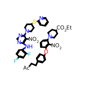 CCOC(=O)C1CCN(c2cccc(Oc3ccc(CCC(C)=O)cc3)c2[N+](=O)[O-])CC1.O=[N+]([O-])c1c(Nc2ccc(F)cc2F)ncnc1N1CCC(Sc2ccccn2)CC1